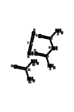 N=C=O.NC(=O)NC(N)=O.NC(N)=O